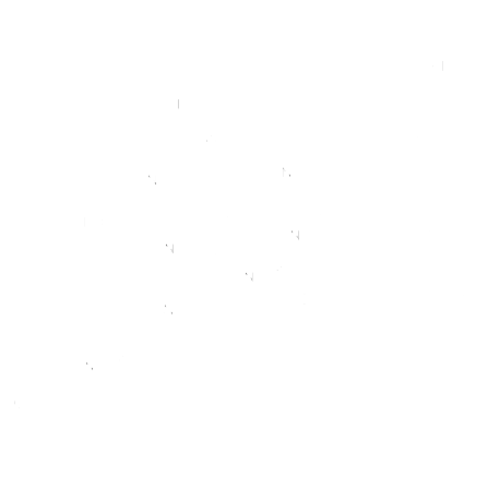 CCOc1nc(C)ncc1C1=NC(c2ccc(Cl)cc2)C(c2ccc(Cl)cc2)N1C(=O)N1CCN(CC(=O)N2CCOCC2)CC1